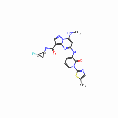 CNc1cc(Nc2cccn(-c3ncc(C)s3)c2=O)nc2c(C(=O)N[C@H]3C[C@H]3F)cnn12